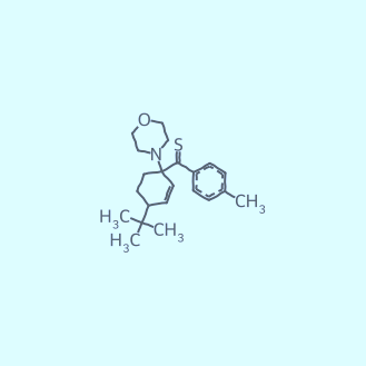 Cc1ccc(C(=S)C2(N3CCOCC3)C=CC(C(C)(C)C)CC2)cc1